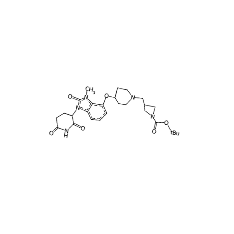 Cn1c(=O)n(C2CCC(=O)NC2=O)c2cccc(OC3CCN(CC4CN(C(=O)OC(C)(C)C)C4)CC3)c21